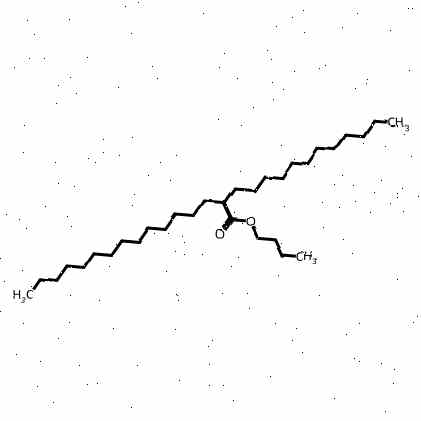 CCCCCCCCCCCCCCC(CCCCCCCCCCCC)C(=O)OCCCC